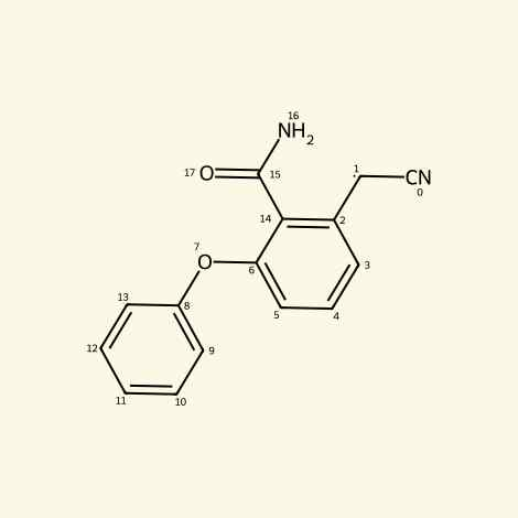 N#C[CH]c1cccc(Oc2ccccc2)c1C(N)=O